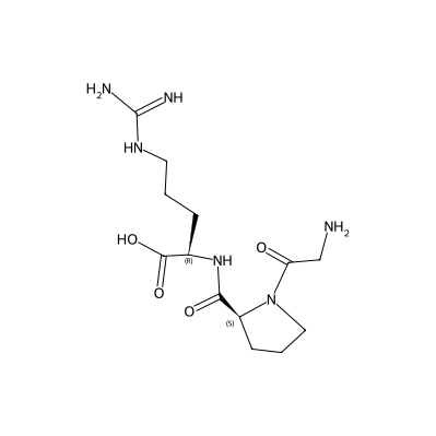 N=C(N)NCCC[C@@H](NC(=O)[C@@H]1CCCN1C(=O)CN)C(=O)O